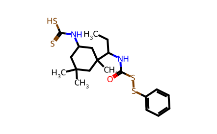 CCC(NC(=O)SSc1ccccc1)C1(C)CC(NC(=S)S)CC(C)(C)C1